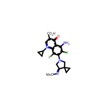 CON=C1CN(c2c(F)c(N)c3c(=O)c(C(=O)O)cn(C4CC4)c3c2F)CC12CC2